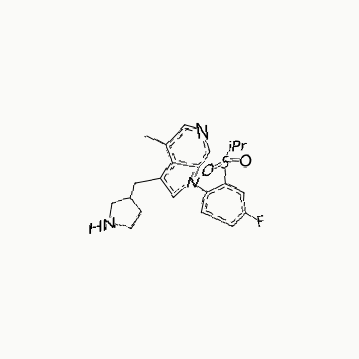 Cc1cncc2c1c(CC1CCNC1)cn2-c1ccc(F)cc1S(=O)(=O)C(C)C